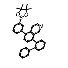 CC1(C)OB(c2cccc(-c3ccc(-c4ccccc4-c4ccccc4)c4cnccc34)c2)OC1(C)C